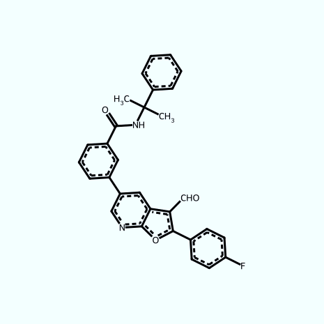 CC(C)(NC(=O)c1cccc(-c2cnc3oc(-c4ccc(F)cc4)c(C=O)c3c2)c1)c1ccccc1